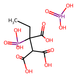 CCC(C(=O)O)(C(C(=O)O)C(=O)O)P(=O)(O)O.O=[PH](O)O